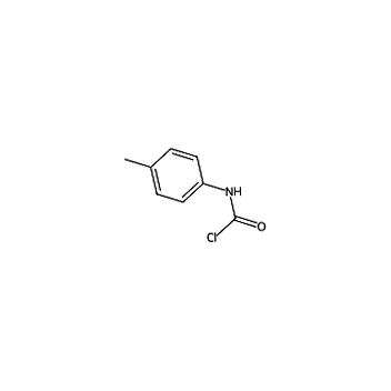 Cc1ccc(NC(=O)Cl)cc1